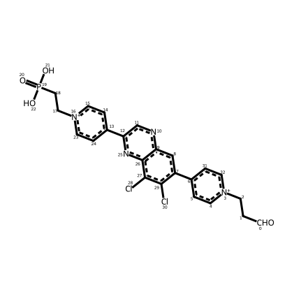 O=CCC[n+]1ccc(-c2cc3ncc(-c4cc[n+](CCP(=O)(O)O)cc4)nc3c(Cl)c2Cl)cc1